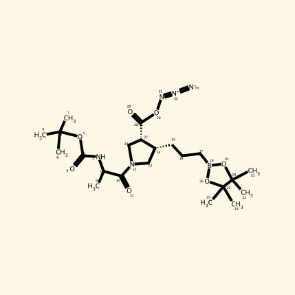 CC(NC(=O)OC(C)(C)C)C(=O)N1C[C@@H](CCCB2OC(C)(C)C(C)(C)O2)[C@@H](C(=O)ON=[N+]=[N-])C1